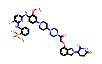 COc1cc(N2CCC(N3CCN(C(=O)COc4cccc5c4CN(C4CCC(=O)NC4=O)C5)CC3)CC2)ccc1Nc1ncc(Cl)c(Nc2ccccc2P(C)(C)=O)n1